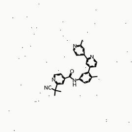 Cc1cc(-c2cc(-c3cc(NC(=O)c4ccnc(C(C)(C)C#N)c4)ccc3C)ccn2)ccn1